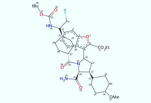 CCOC(=O)c1oc2ccccc2c1C1C[C@@H](C2CCC(OC)CC2)[C@@H](C(N)=O)N1C(=O)[C@H]1CC[C@H](C(CF)NC(=O)OC(C)(C)C)CC1